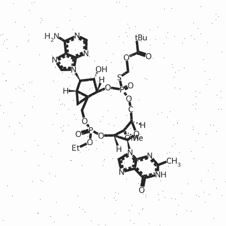 CCOP1(=O)OCC23C[C@@H]2[C@@H](n2cnc4c(N)ncnc42)[C@H](O)[C@@H]3OP(=O)(SCOC(=O)C(C)(C)C)OC[C@H]2O[C@@H](n3cnc4c(=O)[nH]c(C)nc43)[C@H](O1)[C@@H]2OC